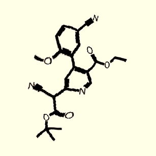 CCOC(=O)c1cnc(C(C#N)C(=O)OC(C)(C)C)cc1-c1cc(C#N)ccc1OC